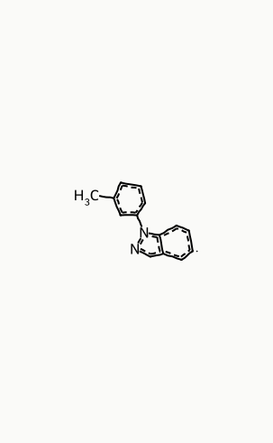 Cc1cccc(-n2ncc3c[c]ccc32)c1